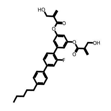 C=C(CO)C(=O)Oc1cc(OC(=O)C(=C)CO)cc(-c2ccc(-c3ccc(CCCCC)cc3)cc2F)c1